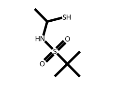 CC(S)NS(=O)(=O)C(C)(C)C